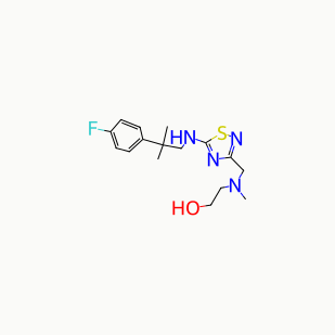 CN(CCO)Cc1nsc(NCC(C)(C)c2ccc(F)cc2)n1